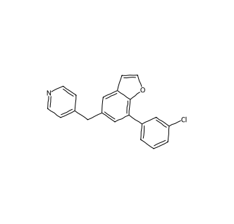 Clc1cccc(-c2cc(Cc3ccncc3)cc3ccoc23)c1